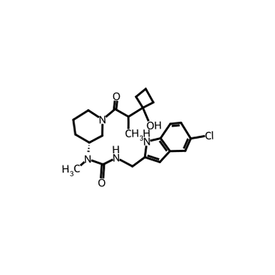 CC(C(=O)N1CCC[C@@H](N(C)C(=O)NCc2cc3cc(Cl)ccc3[nH]2)C1)C1(O)CCC1